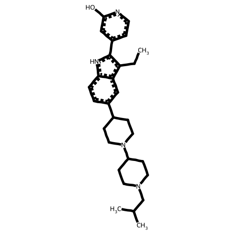 CCc1c(-c2ccnc(O)c2)[nH]c2ccc(C3CCN(C4CCN(CC(C)C)CC4)CC3)cc12